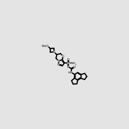 COC1CN(C2COc3c([S@](N)(=O)=NC(=O)Nc4cc5c(c6c4CCC6)CCC5)cnn3C2)C1